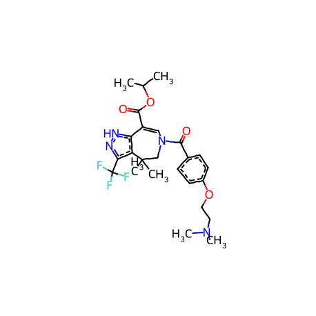 CC(C)OC(=O)C1=CN(C(=O)c2ccc(OCCN(C)C)cc2)CC(C)(C)c2c(C(F)(F)F)n[nH]c21